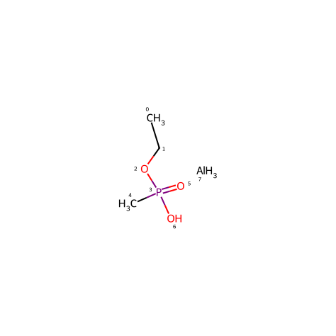 CCOP(C)(=O)O.[AlH3]